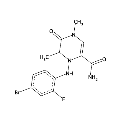 CC1C(=O)N(C)C=C(C(N)=O)N1Nc1ccc(Br)cc1F